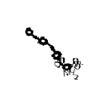 Nc1cc(C(=O)Oc2ccc(C#Cc3ccc(C#Cc4ccccc4)cc3)cc2)cc([N+](=O)[O-])c1